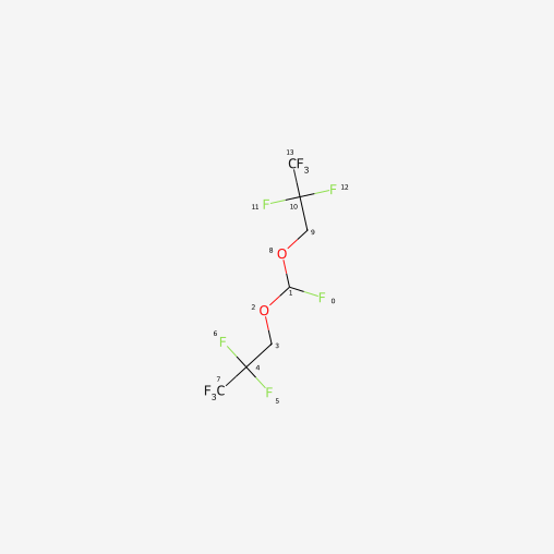 FC(OCC(F)(F)C(F)(F)F)OCC(F)(F)C(F)(F)F